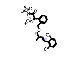 CON=C(C(=O)NS(C)(=O)=O)c1ccccc1CON=C(C)/C=C/c1c(Cl)cccc1Cl